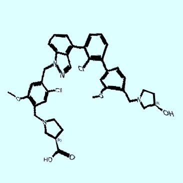 COc1cc(-c2cccc(-c3cccc4c3cnn4Cc3cc(OC)c(CN4CC[C@@H](C(=O)O)C4)cc3Cl)c2Cl)ccc1CN1CC[C@@H](O)C1